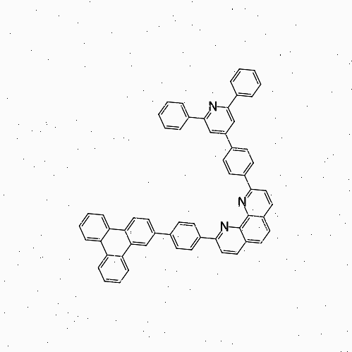 c1ccc(-c2cc(-c3ccc(-c4ccc5ccc6ccc(-c7ccc(-c8ccc9c%10ccccc%10c%10ccccc%10c9c8)cc7)nc6c5n4)cc3)cc(-c3ccccc3)n2)cc1